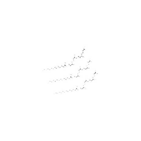 CCCCCCCCCCCCCC(=O)OCC=C(C)CCC=C(C)CCC=C(C)CCC=C(C)C.CCCCCCCCCCCCCC(=O)OCC=C(C)CCC=C(C)CCC=C(C)CCC=C(C)C.CCCCCCCCCCCCCC(=O)OCC=C(C)CCC=C(C)CCC=C(C)CCC=C(C)C